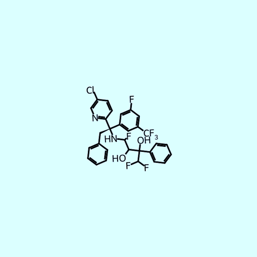 OC(C(F)N[C@@](Cc1ccccc1)(c1cc(F)cc(C(F)(F)F)c1)c1ccc(Cl)cn1)C(O)(c1ccccc1)C(F)F